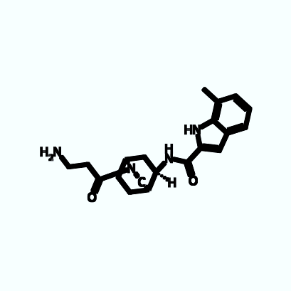 Cc1cccc2cc(C(=O)N[C@@H]3CC4CCC3CN4C(=O)CCN)[nH]c12